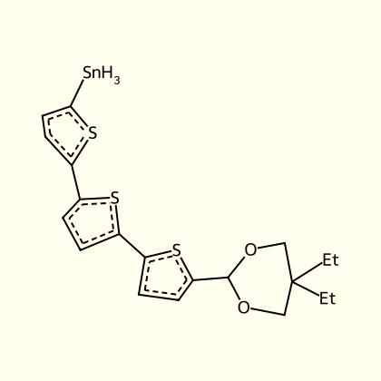 CCC1(CC)COC(c2ccc(-c3ccc(-c4cc[c]([SnH3])s4)s3)s2)OC1